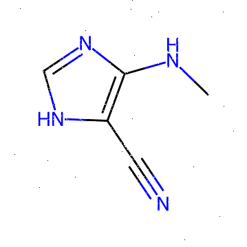 CNc1nc[nH]c1C#N